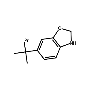 CC(C)C(C)(C)c1ccc2c(c1)OCN2